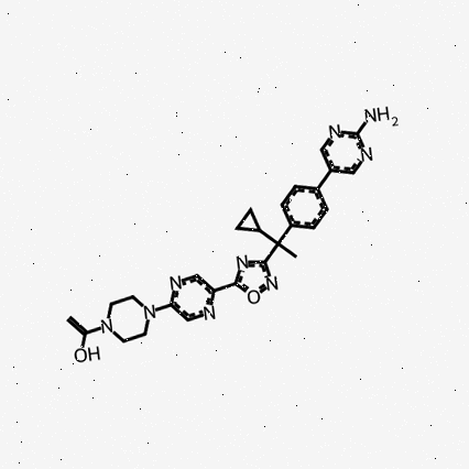 C=C(O)N1CCN(c2cnc(-c3nc(C(C)(c4ccc(-c5cnc(N)nc5)cc4)C4CC4)no3)cn2)CC1